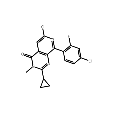 Cn1c(C2CC2)nc2c(-c3ccc(Cl)cc3F)nc(Cl)cc2c1=O